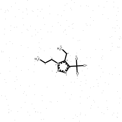 CCCn1nnc(C(Cl)(Cl)Cl)c1CC